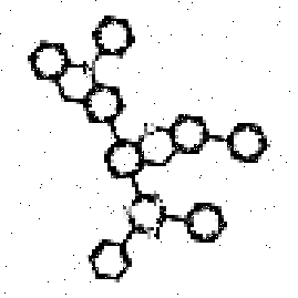 C1=CC(c2nc(-c3ccccc3)nc(-c3ccc(-c4ccc5c(c4)Cc4ccccc4N5c4ccccc4)c4c3Cc3cc(-c5ccccc5)ccc3O4)n2)=CCC1